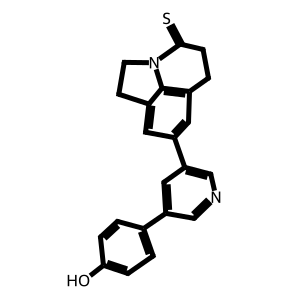 Oc1ccc(-c2cncc(-c3cc4c5c(c3)CCN5C(=S)CC4)c2)cc1